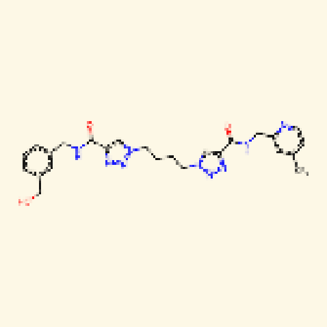 O=C(NCc1cccc(CO)c1)c1cn(CCCCn2cc(C(=O)NCc3cc(C(F)(F)F)ccn3)nn2)nn1